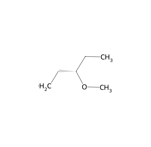 [CH2]C[C@H](CC)OC